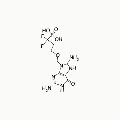 Nc1nc2c(c(=O)[nH]1)NC(N)N2COCCC(F)(F)P(=O)(O)O